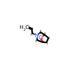 C=CCN1CC2CCC(C1)O2